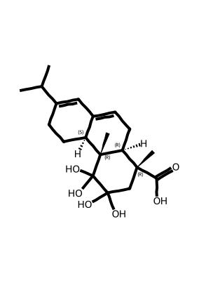 CC(C)C1=CC2=CC[C@@H]3[C@@](C)([C@H]2CC1)C(O)(O)C(O)(O)C[C@@]3(C)C(=O)O